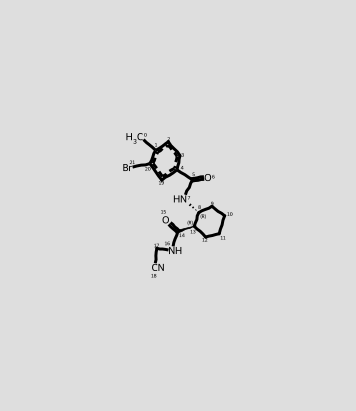 Cc1ccc(C(=O)N[C@@H]2CCCC[C@H]2C(=O)NCC#N)cc1Br